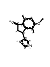 COc1cc(C)c2c(c1C)C(c1c[nH]cn1)CC2=O